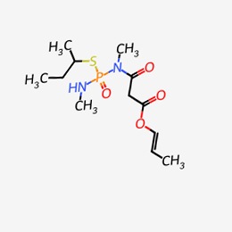 CC=COC(=O)CC(=O)N(C)P(=O)(NC)SC(C)CC